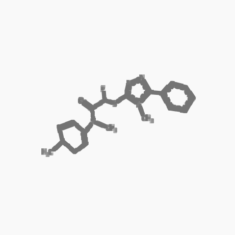 CC1C=CC(N(C)C(=O)C(F)Sc2nnc(-c3ccccc3)n2C)=CC1